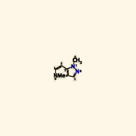 CN/C=C\c1ccnn1C